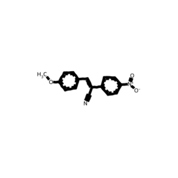 COc1ccc(C=C(C#N)c2ccc([N+](=O)[O-])cc2)cc1